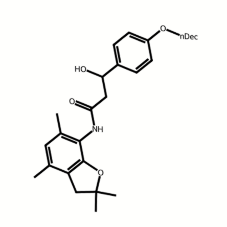 CCCCCCCCCCOc1ccc(C(O)CC(=O)Nc2c(C)cc(C)c3c2OC(C)(C)C3)cc1